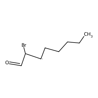 CCCCC[CH]C(Br)C=O